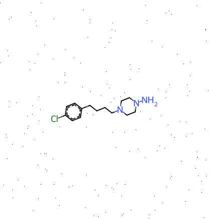 NN1CCN(CCCCc2ccc(Cl)cc2)CC1